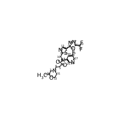 C[C@@H]1CN(CCS(=O)(=O)N(Cc2ncc(-c3nnc(C(F)F)o3)s2)c2cncc(F)c2)CCO1